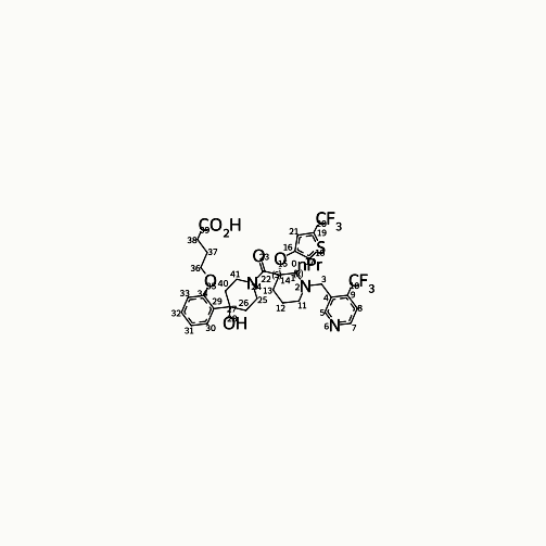 CCC[C@H]1N(Cc2cnccc2C(F)(F)F)CCC[C@@]1(Oc1csc(C(F)(F)F)c1)C(=O)N1CCC(O)(c2ccccc2OCCCC(=O)O)CC1